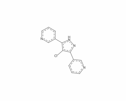 Clc1c(-c2cccnc2)n[nH]c1-c1cccnc1